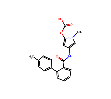 Cc1ccc(-c2ccccc2C(=O)Nc2cc(OC(=O)O)n(C)c2)cc1